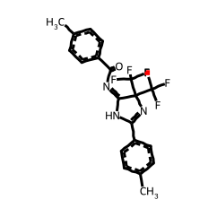 Cc1ccc(C(=O)/N=C2/NC(c3ccc(C)cc3)=NC2(C(F)(F)F)C(F)(F)F)cc1